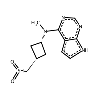 CN(c1ncnc2[nH]ccc12)[C@H]1C[C@@H](C[SH](=O)=O)C1